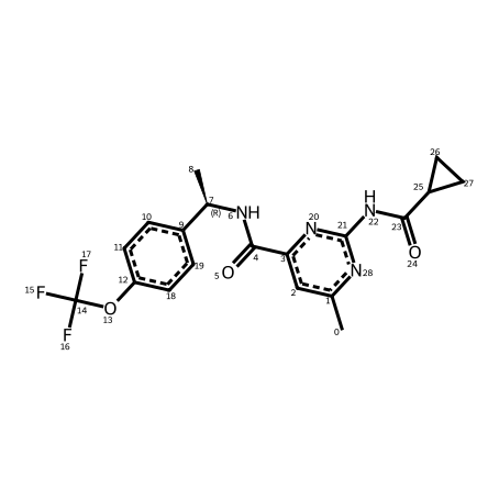 Cc1cc(C(=O)N[C@H](C)c2ccc(OC(F)(F)F)cc2)nc(NC(=O)C2CC2)n1